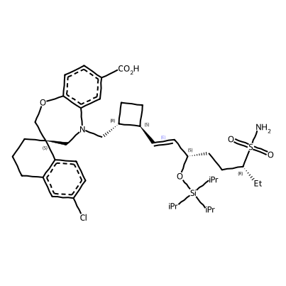 CC[C@H](CC[C@@H](/C=C/[C@@H]1CC[C@H]1CN1C[C@@]2(CCCc3cc(Cl)ccc32)COc2ccc(C(=O)O)cc21)O[Si](C(C)C)(C(C)C)C(C)C)S(N)(=O)=O